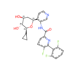 O=C(Nc1cnccc1[C@@H]1C[C@H](O)[C@@H](O)[C@H](C2CC2)O1)c1ccc(F)c(-c2c(F)cccc2F)n1